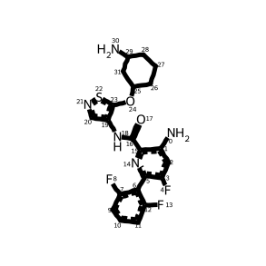 Nc1cc(F)c(-c2c(F)cccc2F)nc1C(=O)Nc1cnsc1OC1CCCC(N)C1